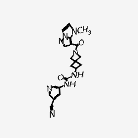 Cn1ccn2ncc(C(=O)N3CC4(CC(NC(=O)Nc5cncc(C#N)c5)C4)C3)c12